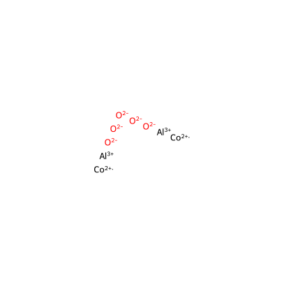 [Al+3].[Al+3].[Co+2].[Co+2].[O-2].[O-2].[O-2].[O-2].[O-2]